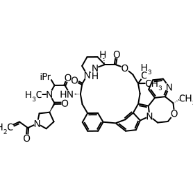 C=CC(=O)N1CC[C@H](C(=O)N(C)C(C(=O)N[C@H]2Cc3cccc(c3)-c3ccc4c(c3)c(c3n4CCO[C@@H](C)c4ncccc4-3)CC(C)(C)COC(=O)[C@@H]3CCCN(N3)C2=O)C(C)C)C1